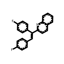 Fc1ccc(/C=C(\c2ccc(F)cc2)c2ccc3ccccc3n2)cc1